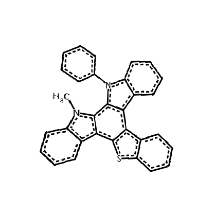 Cn1c2ccccc2c2c3sc4ccccc4c3c3c4ccccc4n(-c4ccccc4)c3c21